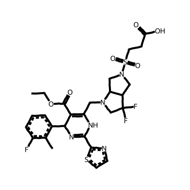 CCOC(=O)C1=C(CN2CC(F)(F)C3CN(S(=O)(=O)CCC(=O)O)CC32)NC(c2nccs2)=NC1c1cccc(F)c1C